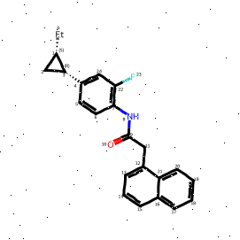 CC[C@H]1C[C@H]1c1ccc(NC(=O)Cc2cccc3ccccc23)c(F)c1